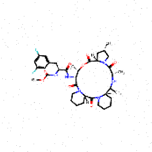 CC1N[C@@H](C)C(=O)N2C[C@@H](C)C[C@H]2C(=O)O[C@@H](C)[C@H](NC(=O)[C@H](Cc2cc(F)cc(F)c2)NC(=O)OC(C)(C)C)C(=O)N2CCCC[C@H]2C(=O)N2CCCC[C@@H]12